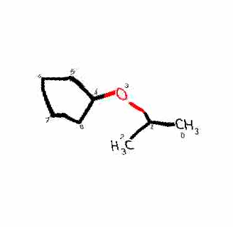 CC(C)OC1[CH]CCC1